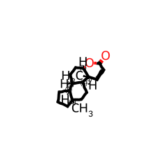 C[C@@]12CCC[C@H]1[C@@H]1CC[C@H]3OC(=O)C=C[C@]3(C)[C@H]1CC2